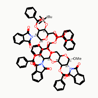 CO[C@H]1OC(COC(=O)c2ccccc2)[C@H](O[C@@H]2OC(COC(=O)c3ccccc3)C(O[C@H]3OC(COC(=O)c4ccccc4)[C@H](O[Si](C)(C)C(C)(C)C)C(OC(=O)c4ccccc4)[C@H]3N3C(=O)c4ccccc4C3=O)[C@H](OC(=O)c3ccccc3)C2N2C(=O)c3ccccc3C2=O)C(OC(=O)c2ccccc2)[C@H]1N1C(=O)c2ccccc2C1=O